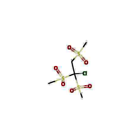 CS(=O)(=O)CC(Cl)(S(C)(=O)=O)S(C)(=O)=O